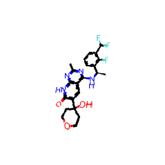 Cc1nc(N[C@H](C)c2cccc(C(F)F)c2F)c2cc(C3(O)CCOCC3)c(=O)[nH]c2n1